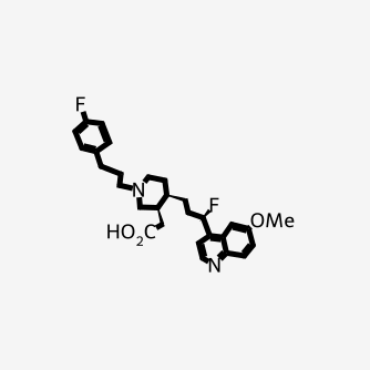 COc1ccc2nccc([C@H](F)CC[C@@H]3CCN(CCCc4ccc(F)cc4)C[C@@H]3CC(=O)O)c2c1